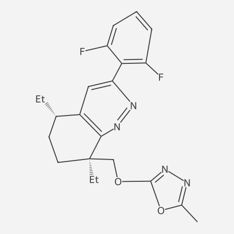 CC[C@H]1CC[C@](CC)(COc2nnc(C)o2)c2nnc(-c3c(F)cccc3F)cc21